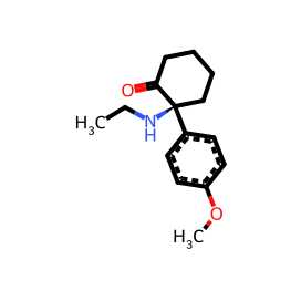 CCN[C@]1(c2ccc(OC)cc2)CCCCC1=O